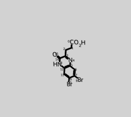 O=C(O)CCc1nc2cc(Br)c(Br)cc2[nH]c1=O